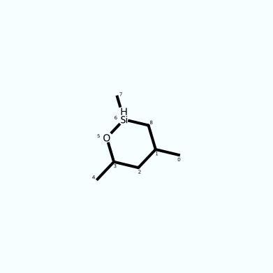 CC1CC(C)O[SiH](C)C1